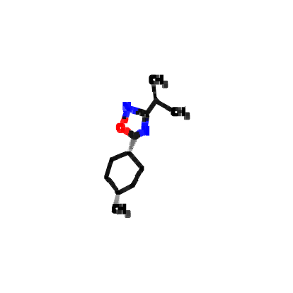 CC(C)c1noc([C@H]2CC[C@@H](C)CC2)n1